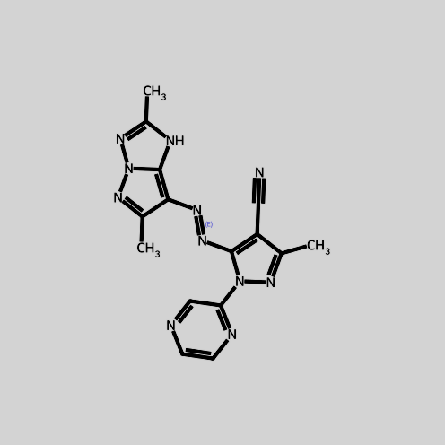 Cc1nn2nc(C)c(/N=N/c3c(C#N)c(C)nn3-c3cnccn3)c2[nH]1